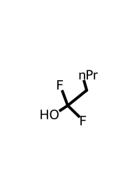 CCCCC(O)(F)F